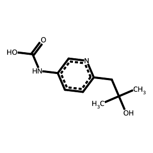 CC(C)(O)Cc1ccc(NC(=O)O)cn1